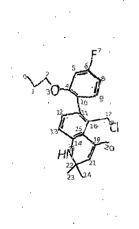 CCCOc1cc(F)ccc1-c1ccc2c(c1CCl)C(C)=CC(C)(C)N2